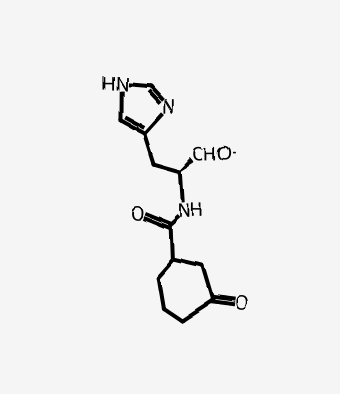 O=[C][C@H](Cc1c[nH]cn1)NC(=O)C1CCCC(=O)C1